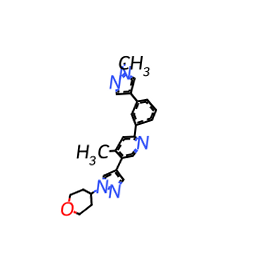 Cc1cc(-c2cccc(-c3cnn(C)c3)c2)ncc1-c1cnn(C2CCOCC2)c1